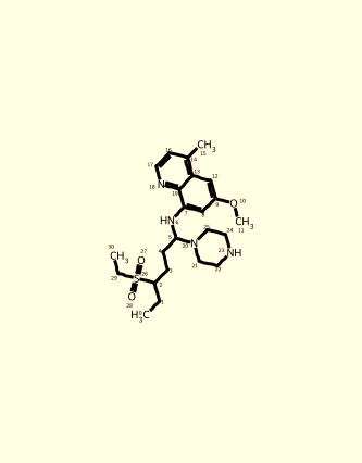 CCC(CCC(Nc1cc(OC)cc2c(C)ccnc12)N1CCNCC1)S(=O)(=O)CC